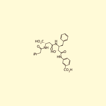 CC(C)CC(=O)N[C@@H](CC(=O)N[C@@H](Cc1ccccc1)[C@@H](O)C(=O)Nc1cccc(C(=O)O)c1)C(=O)O